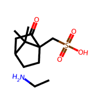 CC1(C)C2CCC1(CS(=O)(=O)O)C(=O)C2.CCN